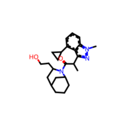 CC(C(=O)N1C(CCO)CC2CCCC1C2)c1nn(C)c2cccc(C3CC3)c12